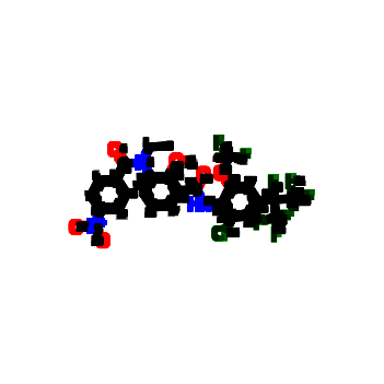 CCN(C(=O)c1ccc([N+](=O)[O-])cc1)c1cccc(C(=O)Nc2c(Cl)cc(C(F)(C(F)(F)F)C(F)(F)F)cc2OC(F)F)c1OC